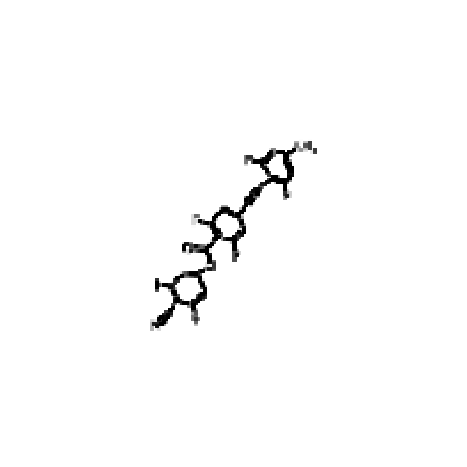 Cc1cc(F)c(C#Cc2cc(F)c(C(=O)Oc3cc(F)c(C#N)c(F)c3)c(F)c2)c(F)c1